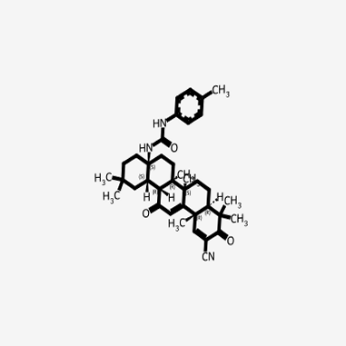 Cc1ccc(NC(=O)N[C@]23CCC(C)(C)C[C@H]2[C@H]2C(=O)C=C4[C@@]5(C)C=C(C#N)C(=O)C(C)(C)[C@@H]5CC[C@@]4(C)[C@]2(C)CC3)cc1